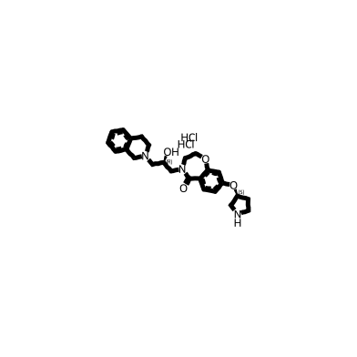 Cl.Cl.O=C1c2ccc(O[C@H]3CCNC3)cc2OCCN1C[C@H](O)CN1CCc2ccccc2C1